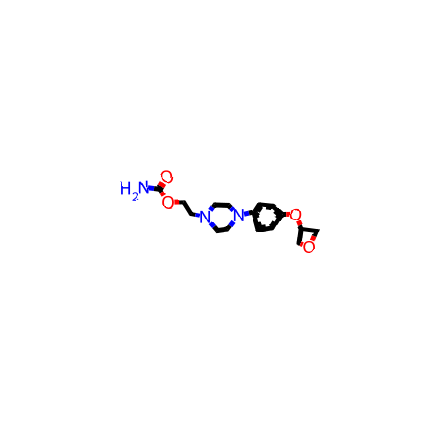 NC(=O)OCCN1CCN(c2ccc(OC3COC3)cc2)CC1